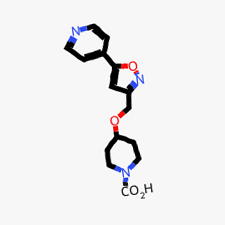 O=C(O)N1CCC(OCc2cc(-c3ccncc3)on2)CC1